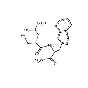 CC(C)CN(CC(O)C(=O)O)C(=O)NC(Cc1ccc2ccccc2c1)C(N)=O